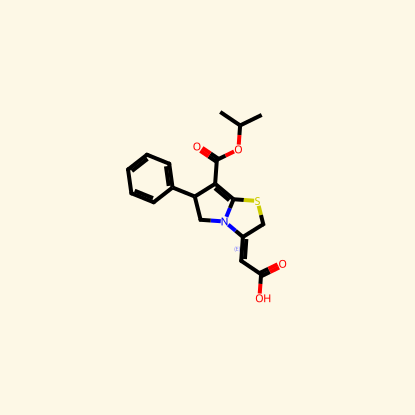 CC(C)OC(=O)C1=C2SC/C(=C\C(=O)O)N2CC1c1ccccc1